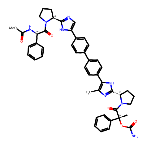 COC(=O)N[C@@H](C(=O)N1CCC[C@H]1c1ncc(-c2ccc(-c3ccc(-c4[nH]c([C@@H]5CCCN5C(=O)[C@](C)(OC(N)=O)c5ccccc5)nc4C(F)(F)F)cc3)cc2)[nH]1)c1ccccc1